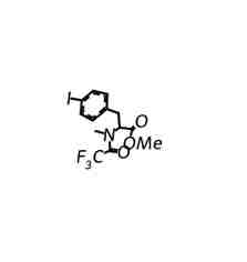 COC(=O)C(Cc1ccc(I)cc1)N(C)C(=O)C(F)(F)F